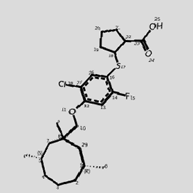 C[C@@H]1CCC[C@H](C)CC(C)(COc2cc(F)c(SC3CCCC3C(=O)O)cc2Cl)C1